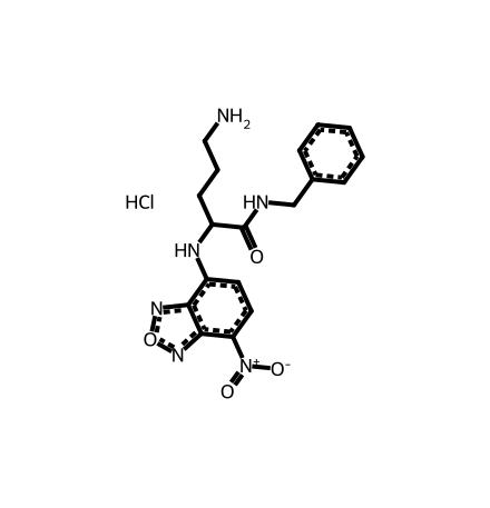 Cl.NCCCC(Nc1ccc([N+](=O)[O-])c2nonc12)C(=O)NCc1ccccc1